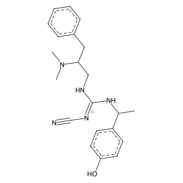 CC(N/C(=N/C#N)NCC(Cc1ccccc1)N(C)C)c1ccc(O)cc1